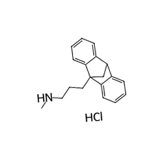 CNCCCC12CC(c3ccccc31)c1ccccc12.Cl